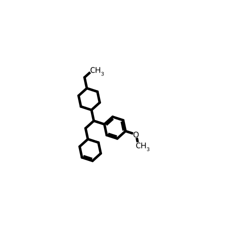 CCC1CCC(C(CC2CC=CCC2)c2ccc(OC)cc2)CC1